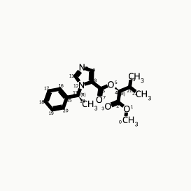 COC(=O)[C@H](OC(=O)c1cncn1[C@H](C)c1ccccc1)C(C)C